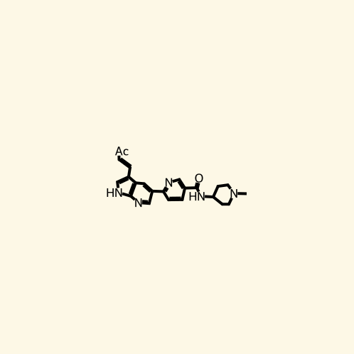 CC(=O)/C=C/c1c[nH]c2ncc(-c3ccc(C(=O)NC4CCN(C)CC4)cn3)cc12